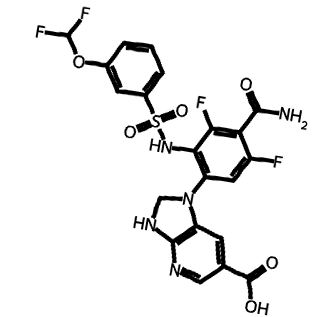 NC(=O)c1c(F)cc(N2CNc3ncc(C(=O)O)cc32)c(NS(=O)(=O)c2cccc(OC(F)F)c2)c1F